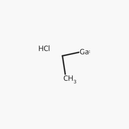 C[CH2][Ga].Cl